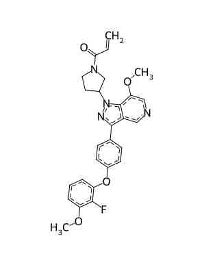 C=CC(=O)N1CCC(n2nc(-c3ccc(Oc4cccc(OC)c4F)cc3)c3cncc(OC)c32)C1